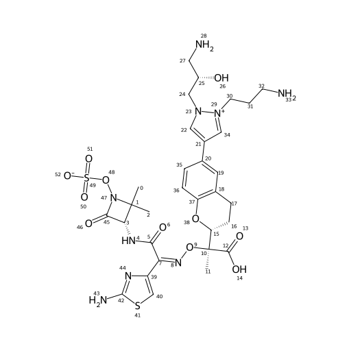 CC1(C)[C@H](NC(=O)/C(=N\O[C@](C)(C(=O)O)[C@H]2CCc3cc(-c4cn(C[C@@H](O)CN)[n+](CCCN)c4)ccc3O2)c2csc(N)n2)C(=O)N1OS(=O)(=O)[O-]